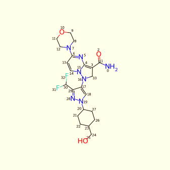 NC(=O)C1=C2N=C(N3CCOCC3)C=CN2N(c2cn(C3CCC(CO)CC3)nc2C(F)F)C1